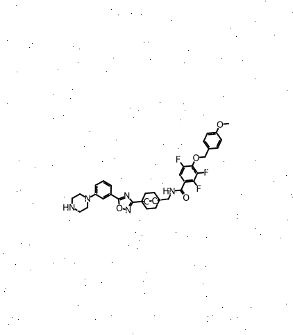 COc1ccc(COc2c(F)cc(C(=O)NCC34CCC(c5noc(-c6cccc(N7CCNCC7)c6)n5)(CC3)CC4)c(F)c2F)cc1